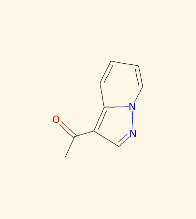 CC(=O)c1cnn2ccccc12